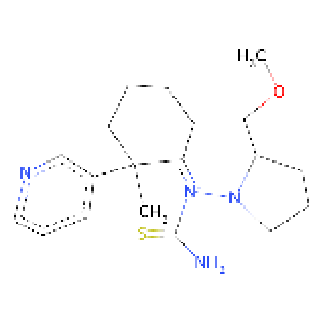 COCC1CCCN1[N+](C(N)=S)=C1CCCCC1(C)c1cccnc1